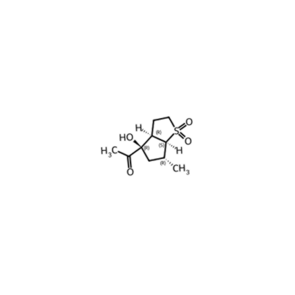 CC(=O)[C@@]1(O)C[C@@H](C)[C@H]2[C@@H]1CCS2(=O)=O